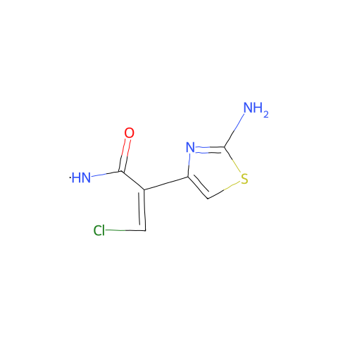 [NH]C(=O)C(=CCl)c1csc(N)n1